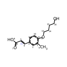 Cc1cc(/C=C/C(=O)O)ccc1OCCCCO